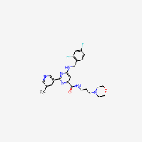 O=C(NCCCN1CCOCC1)c1cc(NCc2ccc(F)cc2F)nc(-c2cncc(C(F)(F)F)c2)n1